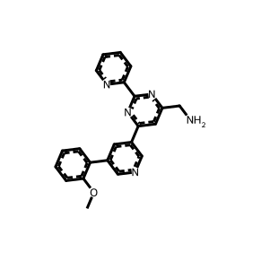 COc1ccccc1-c1cncc(-c2cc(CN)nc(-c3ccccn3)n2)c1